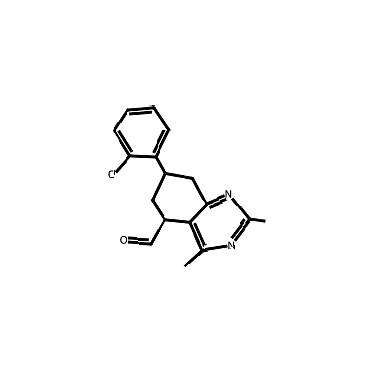 Cc1nc(C)c2c(n1)CC(c1ccccc1Cl)CC2C=O